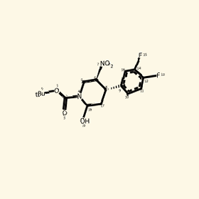 CC(C)(C)OC(=O)N1C[C@@H]([N+](=O)[O-])[C@H](c2ccc(F)c(F)c2)CC1O